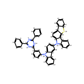 c1ccc(-c2nc(-c3ccccc3)nc(-c3cccc(-n4c5ccccc5c5cc(-n6c7ccccc7c7c8sc9ccccc9c8ccc76)ccc54)c3)n2)cc1